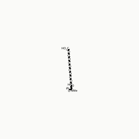 CN[C@@H](CCC(=O)NCCOCCOCCOCCOCCOCCOCCOCCOCCOCCC(=O)O)C(=O)C(C)C